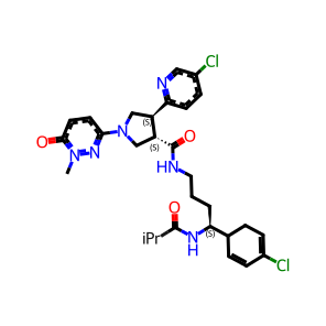 CC(C)C(=O)N[C@@H](CCCNC(=O)[C@@H]1CN(c2ccc(=O)n(C)n2)C[C@H]1c1ccc(Cl)cn1)C1C=CC(Cl)=CC1